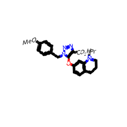 COc1ccc(Cn2nnc(C(=O)O)c2Oc2ccc3c(c2)N(C(C)C)CCC3)cc1